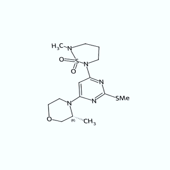 CSc1nc(N2CCOC[C@H]2C)cc(N2CCCN(C)S2(=O)=O)n1